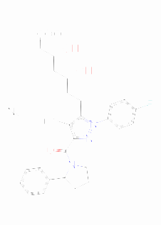 CC(C)c1c(C(=O)N2CCCC2c2ccccc2)nn(-c2ccc(F)cc2)c1CC[C@@H](O)C[C@@H](O)CC(=O)[O-].[Na+]